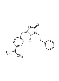 CN(C)c1ccc(/C=C2/OC(=S)N(CCc3ccccc3)C2=O)cc1